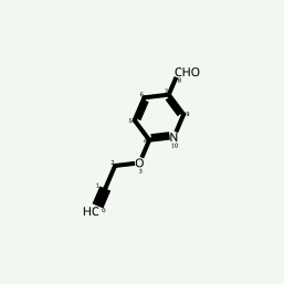 C#CCOc1ccc(C=O)cn1